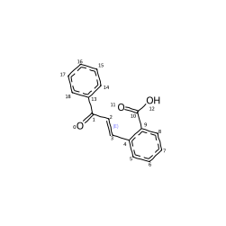 O=C(/C=C/c1ccccc1C(=O)O)c1ccccc1